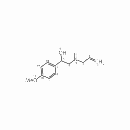 C=CCNCC(O)c1ccc(OC)cc1